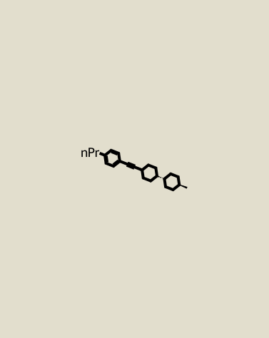 CCCc1ccc(C#CC2CCC([C@H]3CC[C@H](C)CC3)CC2)cc1